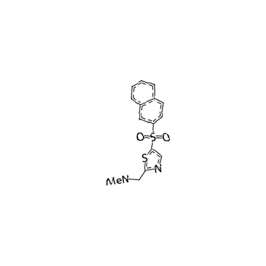 CNCc1ncc(S(=O)(=O)c2ccc3ccccc3c2)s1